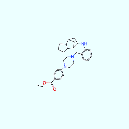 CCOC(=O)c1ccc(N2CCN(Cc3ccccc3NC3CC4CC3C3CCCC43)CC2)cc1